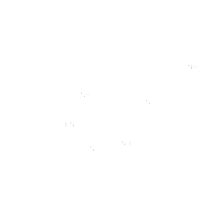 C#CN/C(N)=C(\CCN1CCC(N)CC1)[C@H](N)NC1=C/CCCOC(=C)/C=C\1